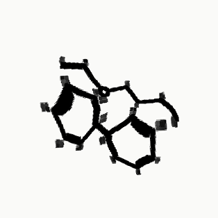 C=COCCCC.c1ccc(-c2ccccc2)cc1